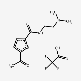 CN(C)CCNC(=O)c1ccc(C(=O)C(F)(F)F)s1.O=C(O)C(F)(F)F